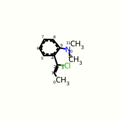 CC=C(Cl)c1ccccc1N(C)C